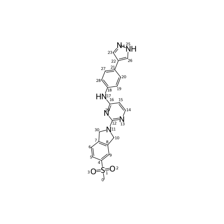 CS(=O)(=O)c1ccc2c(c1)CN(c1nccc(Nc3ccc(-c4cn[nH]c4)cc3)n1)C2